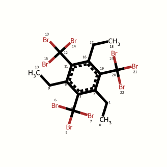 CCc1c(C(Br)(Br)Br)c(CC)c(C(Br)(Br)Br)c(CC)c1C(Br)(Br)Br